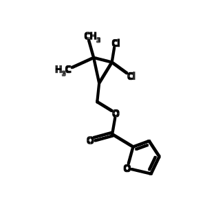 CC1(C)C(COC(=O)c2ccco2)C1(Cl)Cl